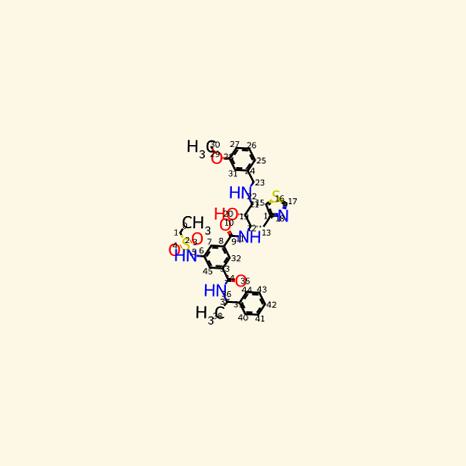 CCS(=O)(=O)Nc1cc(C(=O)N[C@@H](Cc2cscn2)[C@H](O)CNCc2cccc(OC)c2)cc(C(=O)N[C@H](C)c2ccccc2)c1